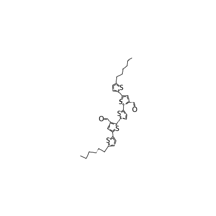 CCCCCCc1ccc(-c2cc(C=O)c(-c3ccc(-c4sc(-c5ccc(CCCCCC)s5)cc4C=O)s3)s2)s1